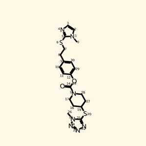 Cn1ccnc1SCCc1ccc(OC(=O)N2CCC(Sc3nnnn3C)CC2)cc1